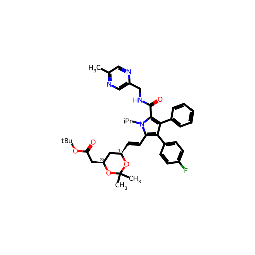 Cc1cnc(CNC(=O)c2c(-c3ccccc3)c(-c3ccc(F)cc3)c(C=C[C@@H]3C[C@H](CC(=O)OC(C)(C)C)OC(C)(C)O3)n2C(C)C)cn1